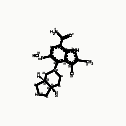 Cc1[nH]c2c(C(N)=O)cc(F)c(N3CC[C@@H]4CNC[C@H]4C3)c2c1Cl.Cl